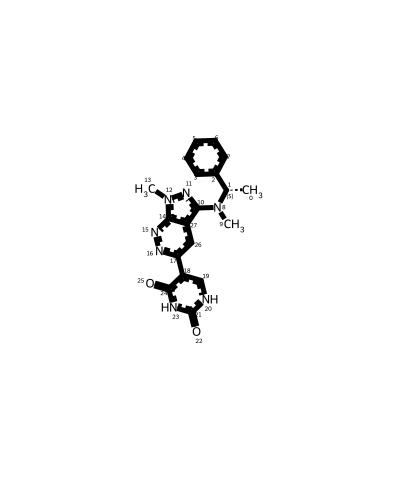 C[C@@H](c1ccccc1)N(C)c1nn(C)c2nnc(-c3c[nH]c(=O)[nH]c3=O)cc12